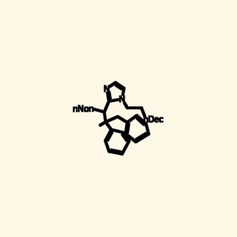 CCCCCCCCCCCCn1ccnc1C(CCCCCCCCC)C(C)(Cc1ccccc1)c1ccccc1